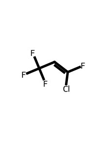 FC(Cl)=CC(F)(F)F